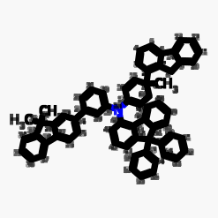 CC1(c2cccc3c2Cc2ccccc2-3)C=CC(N(c2cccc(-c3ccc4c(c3)C(C)(C)c3ccccc3-4)c2)c2cccc3c2-c2ccccc2C3(c2ccccc2)c2ccccc2)=CC1